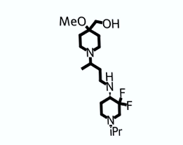 COC1(CO)CCN(C(C)CCN[C@H]2CCN(C(C)C)CC2(F)F)CC1